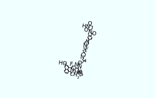 CCc1cccc2cc(O)cc(-c3ncc4c(N5CC6CCC(C5)N6)nc(OCC5(CN6CCC7(CC6)CC(F)(CN6CCN(c8ccc9c(c8)CN([C@H]8CCC(=O)NC8=O)C9=O)CC6)C7)CC5)nc4c3F)c12